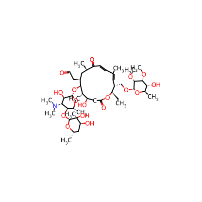 CC[C@H]1OC(=O)C[C@@H](O)[C@H](C)[C@@H](O[C@@H]2O[C@H](C)[C@@H](O[C@@H]3O[C@@H](C)C[C@H](O)[C@]3(C)O)[C@H](N(C)C)[C@H]2O)[C@@H](CC=O)C[C@@H](C)C(=O)/C=C/C(C)=C/[C@@H]1CO[C@@H]1O[C@H](C)[C@@H](O)[C@@H](OC)[C@H]1OC